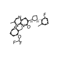 Cc1cnc2cc([C@H]3CC[C@H](c4c(C)cccc4F)C3)c(=O)n(Cc3ncccc3OC(F)F)c2n1